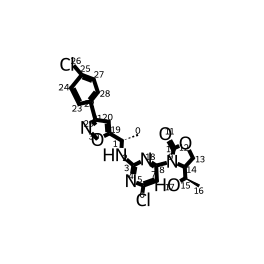 C[C@H](Nc1nc(Cl)cc(N2C(=O)OCC2[C@@H](C)O)n1)c1cc(-c2ccc(Cl)cc2)no1